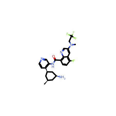 C[C@@H]1C[C@H](N)C[C@H](c2ccncc2NC(=O)c2ccc(F)c3cc(N(C)CC(F)(F)F)cnc23)C1